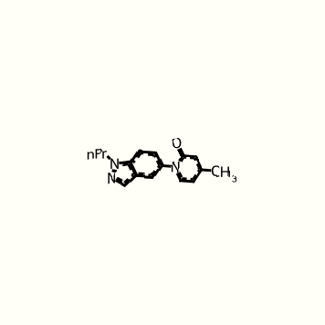 CCCn1ncc2cc(-n3ccc(C)cc3=O)ccc21